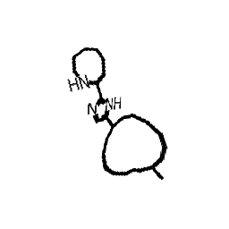 CC1CCCCCCC(c2cnc(C3CCCCCCN3)[nH]2)CCCCCC1